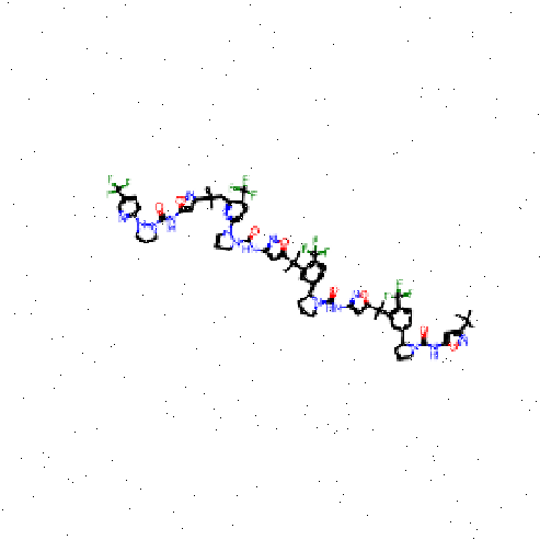 CC(C)(C)c1cc(NC(=O)N2CCCC2c2ccc(C(F)(F)F)c(C(C)(C)c3cc(NC(=O)N4CCCC4c4ccc(C(F)(F)F)c(C(C)(C)c5cc(NC(=O)N6CCCN6c6ccc(C(F)(F)F)c(CC(C)(C)c7cc(NC(=O)N8CCCN8c8ccc(C(F)(F)F)cn8)on7)n6)no5)c4)no3)c2)on1